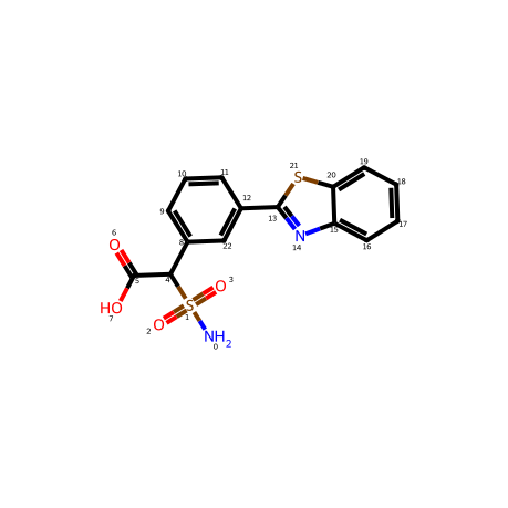 NS(=O)(=O)C(C(=O)O)c1cccc(-c2nc3ccccc3s2)c1